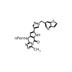 CCCCCn1c2cc(-c3cnn(Cc4cnc5ccsc5c4)c3)[nH]c2c(=O)n2c(C)nnc12